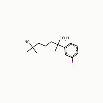 CC(C)(C#N)CCCC(C)(C(=O)O)c1cccc(I)c1